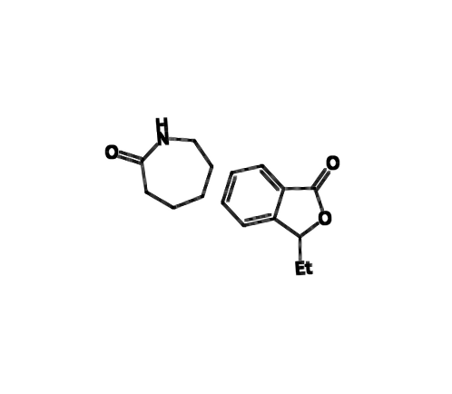 CCC1OC(=O)c2ccccc21.O=C1CCCCCN1